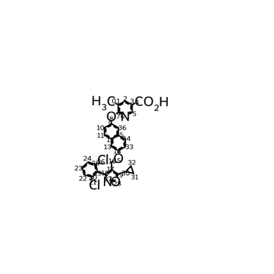 Cc1cc(C(=O)O)cnc1Oc1ccc2cc(OCc3c(-c4c(Cl)cccc4Cl)noc3C3CC3)ccc2c1